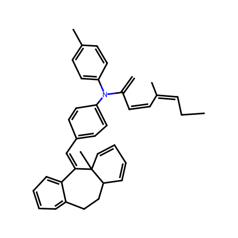 C=C(/C=C\C(C)=C/CC)N(c1ccc(C)cc1)c1ccc(/C=C2/c3ccccc3CCC3C=CC=CC23C)cc1